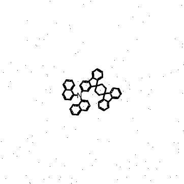 c1ccc2c(c1)-c1ccccc1C21CCC2(CC1)c1ccccc1-c1ccc(N(c3cccc4ccccc34)c3cccc4ccccc34)cc12